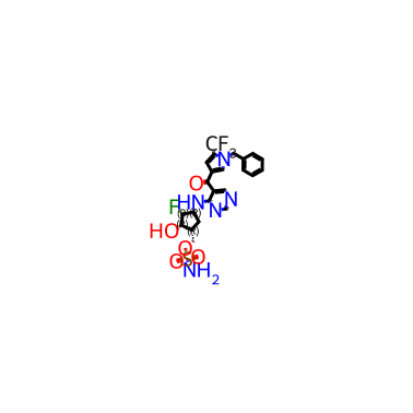 NS(=O)(=O)OC[C@H]1C[C@@H](Nc2ncncc2C(=O)c2cc(C(F)(F)F)n(Cc3ccccc3)c2)[C@@H](F)[C@@H]1O